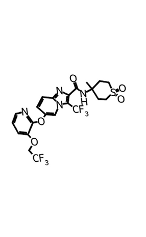 CC1(NC(=O)c2nc3ccc(Oc4ncccc4OCC(F)(F)F)cn3c2C(F)(F)F)CCS(=O)(=O)CC1